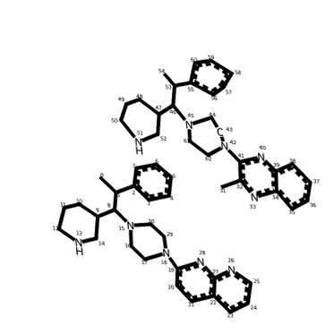 CC(c1ccccc1)C(C1CCCNC1)N1CCN(c2ccc3cccnc3n2)CC1.Cc1nc2ccccc2nc1N1CCN(C(C2CCCNC2)C(C)c2ccccc2)CC1